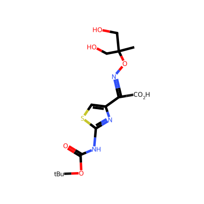 CC(C)(C)OC(=O)Nc1nc(/C(=N/OC(C)(CO)CO)C(=O)O)cs1